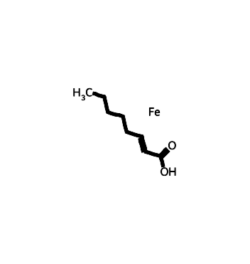 CCCCC/C=C/C(=O)O.[Fe]